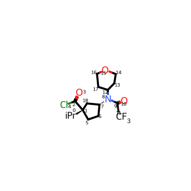 CC(C)[C@]1(C(=O)Cl)CC[C@@H](N(C(=O)C(F)(F)F)C2CCOCC2)C1